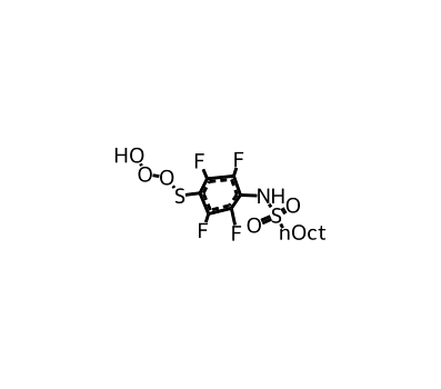 CCCCCCCCS(=O)(=O)Nc1c(F)c(F)c(SOOO)c(F)c1F